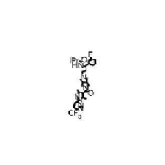 Cc1nn(-c2ccc(C(F)(F)F)nn2)c(C)c1C(=O)N1CC2CN(CC[C@H](NC(=O)C(C)C)c3cccc(F)c3)CC2C1